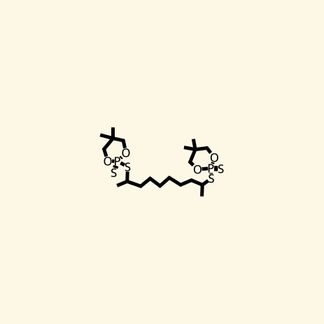 CC(CCCCCCC(C)SP1(=S)OCC(C)(C)CO1)SP1(=S)OCC(C)(C)CO1